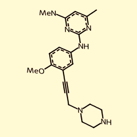 CNc1cc(C)nc(Nc2ccc(OC)c(C#CCN3CCNCC3)c2)n1